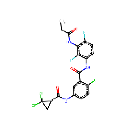 CCC(=O)Nc1c(F)ccc(NC(=O)c2cc(NC(=O)C3CC3(Cl)Cl)ccc2Cl)c1F